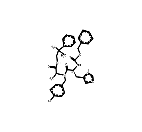 CC(C(=O)NCC(C)(C)c1ccccc1)N(Cc1ccc(Cl)cc1)C(=O)[C@H](Cc1cnc[nH]1)NC(=O)OCc1ccccc1